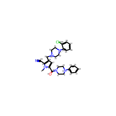 Cn1c(C(=O)N2CCN(c3ccccc3)CC2)cc(CN2CCN(c3ccccc3Cl)CC2)c1C#N